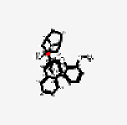 CCOc1cccc2c1O[C@@H](CN1C3CCC1CC(O)(c1ccc4ccccc4c1)C3)CO2